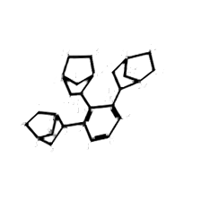 [c]1cc(C2CC3CCC2C3)c(C2CC3CCC2C3)c(C2CC3CCC2C3)c1